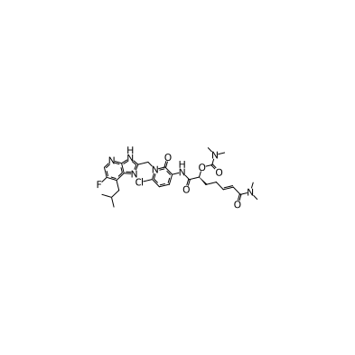 CC(C)Cc1c(F)cnc2[nH]c(Cn3c(Cl)ccc(NC(=O)[C@H](CC/C=C/C(=O)N(C)C)OC(=O)N(C)C)c3=O)nc12